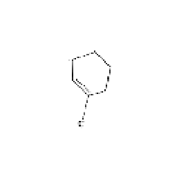 ClC1=C[CH]CCC1